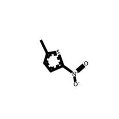 Cc1ccc([N+](=O)[O-])s1